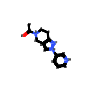 [CH2]C(=O)N1CCc2nn(-c3cccnc3)cc2C1